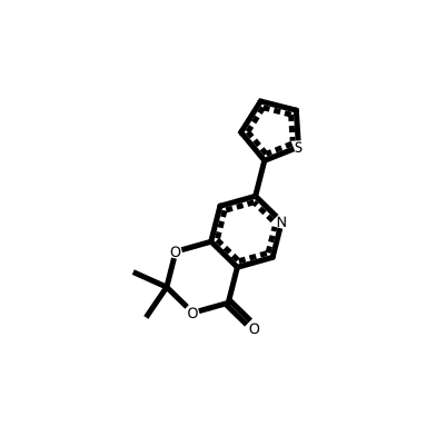 CC1(C)OC(=O)c2cnc(-c3cccs3)cc2O1